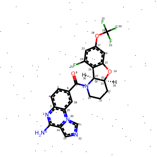 Nc1nc2ccc(C(=O)N3CCC[C@@H]4Oc5cc(OC(F)(F)F)cc(F)c5[C@@H]43)cc2n2cncc12